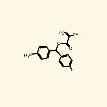 C=C(C)C(=O)OC(c1ccc(C)cc1)c1ccc(F)cc1